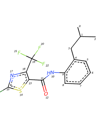 CC(C)Cc1ccccc1NC(=O)c1sc(Cl)nc1C(F)(F)F